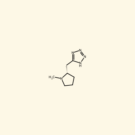 CN1CCC[C@H]1Cc1nnn[nH]1